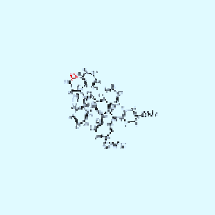 COc1ccc([C@@H]2c3cc(OC)ccc3-c3c2c2ccccc2c2c4c(c5ccccc5c32)[C@@H]2CCOc3cccc-4c32)cc1